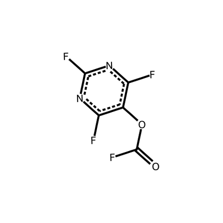 O=C(F)Oc1c(F)nc(F)nc1F